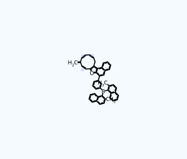 C=C1/C=C\C=C/Cc2c(oc3c(-c4cccc(B(c5c(C)ccc6ccccc56)c5c(C)ccc6ccccc56)c4)cc4ccccc4c23)/C=C\1